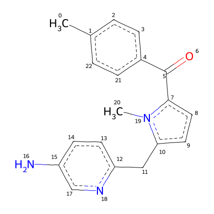 Cc1ccc(C(=O)c2ccc(Cc3ccc(N)cn3)n2C)cc1